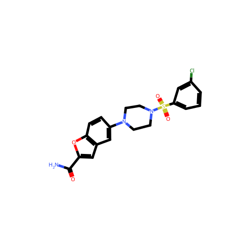 NC(=O)c1cc2cc(N3CCN(S(=O)(=O)c4cccc(Cl)c4)CC3)ccc2o1